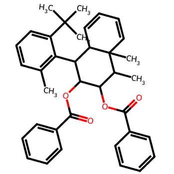 Cc1cccc(C(C)(C)C)c1C1C(OC(=O)c2ccccc2)C(OC(=O)c2ccccc2)C(C)C2(C)C=CC=CC12